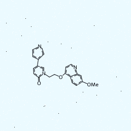 COc1ccc2c(OCCn3cc(-c4ccncc4)ccc3=O)ccnc2c1